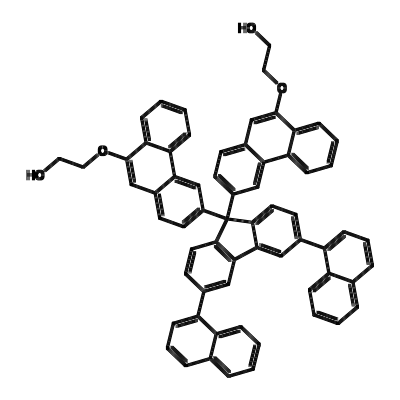 OCCOc1cc2ccc(C3(c4ccc5cc(OCCO)c6ccccc6c5c4)c4ccc(-c5cccc6ccccc56)cc4-c4cc(-c5cccc6ccccc56)ccc43)cc2c2ccccc12